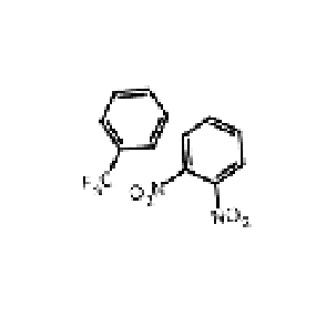 FC(F)(F)c1ccccc1.O=[N+]([O-])c1ccccc1[N+](=O)[O-]